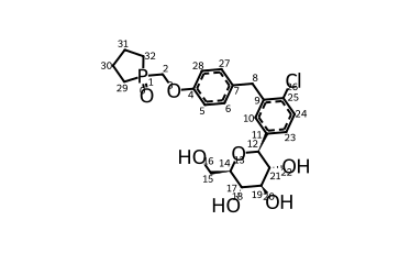 O=P1(COc2ccc(Cc3cc([C@@H]4O[C@H](CO)[C@@H](O)[C@H](O)[C@H]4O)ccc3Cl)cc2)CCCC1